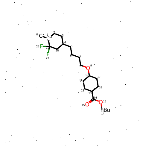 [CH2-][C+]1CCC(CCCCOC2CCC(C(=O)OCCCC)CC2)CC1(F)F